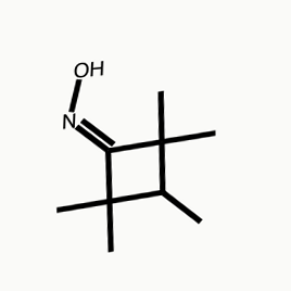 CC1C(C)(C)C(=NO)C1(C)C